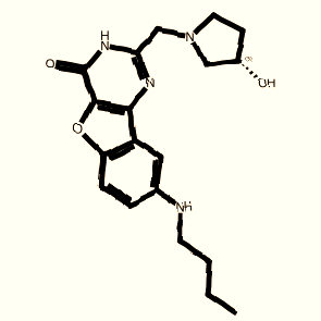 CCCCNc1ccc2oc3c(=O)[nH]c(CN4CC[C@H](O)C4)nc3c2c1